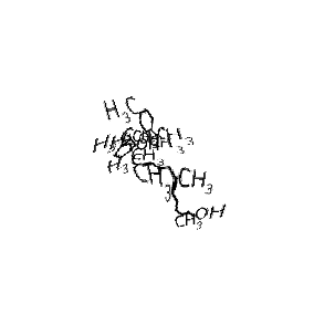 CC(C)=CCCC(C)=CCCC(C)=CCO.CC1(C)C(O)[C@@]2(C)CC[C@@H]1C2.CC1CCC(C(C)C)C(O)C1